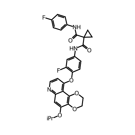 CC(C)Oc1cc2nccc(Oc3ccc(NC(=O)C4(C(=O)Nc5ccc(F)cc5)CC4)cc3F)c2c2c1OCCO2